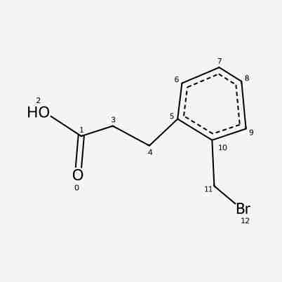 O=C(O)CCc1ccccc1CBr